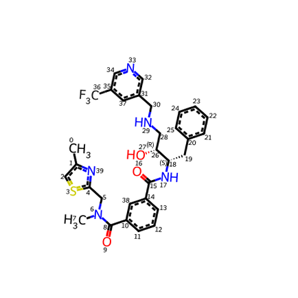 Cc1csc(CN(C)C(=O)c2cccc(C(=O)N[C@@H](Cc3ccccc3)[C@H](O)CNCc3cncc(C(F)(F)F)c3)c2)n1